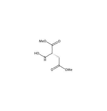 COC(=O)C[C@H](NO)C(=O)OC